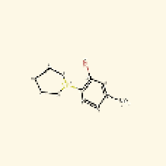 O=[N+]([O-])c1ccc([SH]2CCCCC2)c(Br)c1